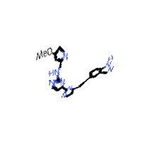 COc1ccnc(CNc2nccc(-c3nccc(C#Cc4ccc5[nH]ncc5c4)n3)n2)c1